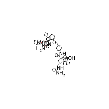 NC(=O)NCCC[C@H](NC(=O)C1(C(=O)O)CCC1)C(=O)Nc1ccc(COc2ccccc2-c2cc(N3CC4CCC(C3)N4c3ccnc(OC4CCC4)c3)c(N)nn2)cc1